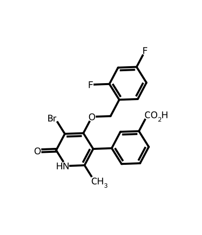 Cc1[nH]c(=O)c(Br)c(OCc2ccc(F)cc2F)c1-c1cccc(C(=O)O)c1